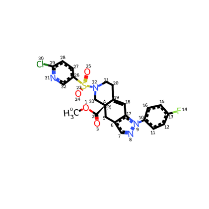 COC(=O)[C@]12Cc3cnn(-c4ccc(F)cc4)c3C=C1CCN(S(=O)(=O)c1ccc(Cl)nc1)C2